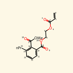 C=CC(=O)OCCOC(=O)c1cccc(CCC)c1C(=O)OC